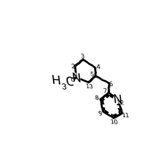 CN1CCCC(Cc2ccccn2)C1